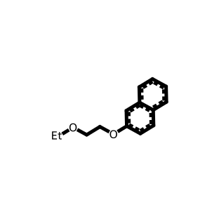 [CH2]COCCOc1ccc2ccccc2c1